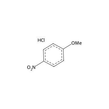 COc1ccc([N+](=O)[O-])cc1.Cl